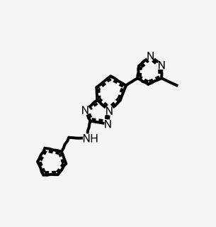 Cc1cc(-c2ccc3nc(NCc4ccccc4)nn3c2)cnn1